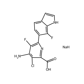 Nc1c(F)c(-c2ccc3cc[nH]c3c2F)nc(C(=O)O)c1Cl.[NaH]